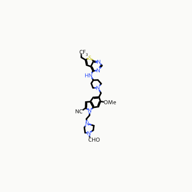 COc1cc2c(cc1CN1CCC(Nc3ncnc4sc(CC(F)(F)F)cc34)CC1)cc(C#N)n2CCN1CCN(C=O)CC1